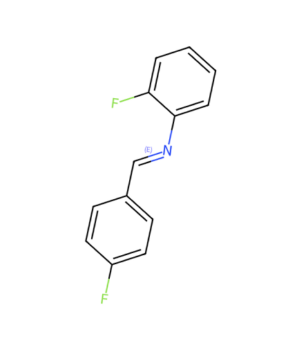 Fc1ccc(/C=N/c2ccccc2F)cc1